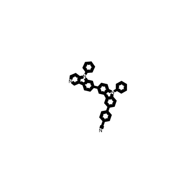 N#Cc1ccc(-c2ccc3c(c2)c2cc(-c4ccc5c6cnccc6n(-c6ccccc6)c5c4)ccc2n3-c2ccccc2)cc1